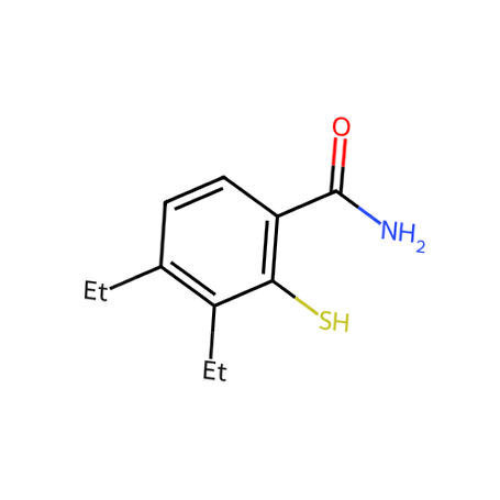 CCc1ccc(C(N)=O)c(S)c1CC